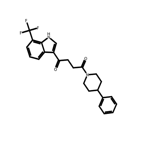 O=C(CCC(=O)N1CCC(c2ccccc2)CC1)c1c[nH]c2c(C(F)(F)F)cccc12